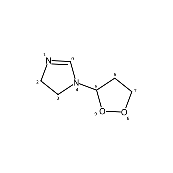 C1=NCCN1C1CCOO1